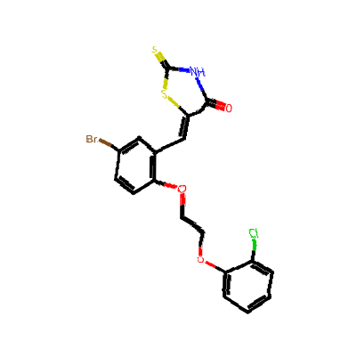 O=C1NC(=S)S/C1=C\c1cc(Br)ccc1OCCOc1ccccc1Cl